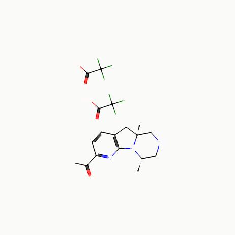 CCC(=O)c1ccc2c(n1)N1[C@@H](CNC[C@H]1C)C2.O=C(O)C(F)(F)F.O=C(O)C(F)(F)F